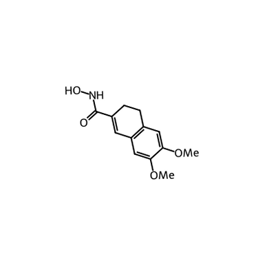 COc1cc2c(cc1OC)CCC(C(=O)NO)=C2